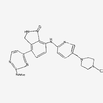 CNc1nccc(-c2ccc(Nc3ccc(N4CCN(C)CC4)cn3)c3c2CNC3=O)n1